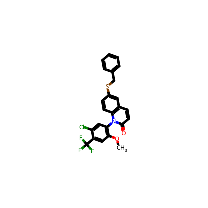 COc1cc(C(F)(F)F)c(Cl)cc1-n1c(=O)ccc2cc(SCc3ccccc3)ccc21